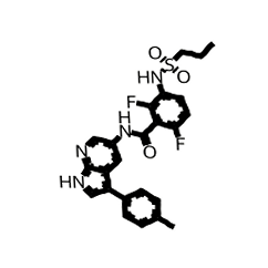 CCCS(=O)(=O)Nc1ccc(F)c(C(=O)Nc2cnc3[nH]cc(-c4ccc(C)cc4)c3c2)c1F